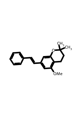 COc1cc(C=Cc2ccccc2)cc2c1CCC(C)(C)O2